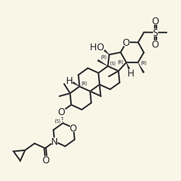 C[C@@H]1CC(CS(C)(=O)=O)OC2[C@H]1C1(C)CCC34CC35CCC(O[C@H]3CN(C(=O)CC6CC6)CCO3)C(C)(C)[C@@H]5CCC4[C@]1(C)[C@H]2O